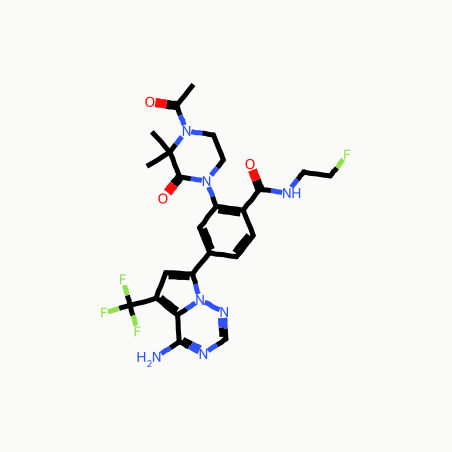 CC(=O)N1CCN(c2cc(-c3cc(C(F)(F)F)c4c(N)ncnn34)ccc2C(=O)NCCF)C(=O)C1(C)C